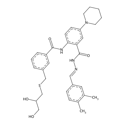 Cc1ccc(C=NNC(=O)c2cc(N3CCCCC3)ccc2NC(=O)c2cccc(CSCC(O)CO)c2)cc1C